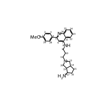 COc1ccc(-c2cc(NCCCN3CC4CCC(N)C4C3)c3ccccc3n2)cc1